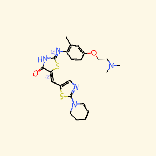 Cc1cc(OCCN(C)C)ccc1/N=C1/NC(=O)/C(=C/c2cnc(N3CCCCC3)s2)S1